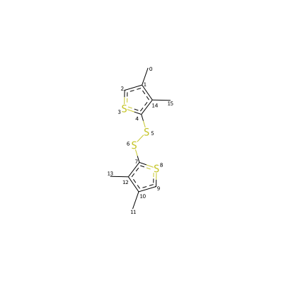 Cc1csc(SSc2scc(C)c2C)c1C